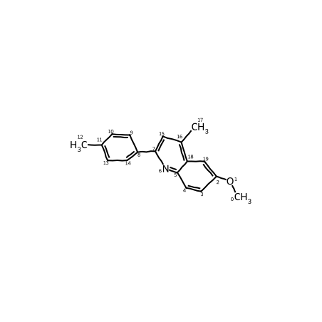 COc1ccc2nc(-c3ccc(C)cc3)cc(C)c2c1